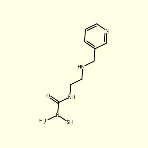 CN(S)C(=O)NCCNCc1cccnc1